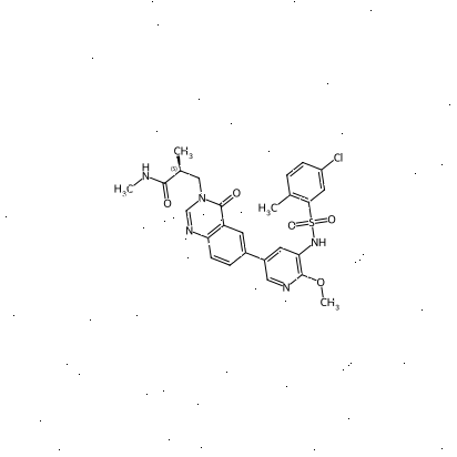 CNC(=O)[C@@H](C)Cn1cnc2ccc(-c3cnc(OC)c(NS(=O)(=O)c4cc(Cl)ccc4C)c3)cc2c1=O